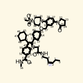 CC/C=C\CCNC(=O)Cn1c(-c2ccc(OCc3cc(N4CCCC4=O)ccc3N3CCN(S(C)(=O)=O)CC3)cc2)c(C2CCCCC2)c2ccc(C(=O)NC)cc21